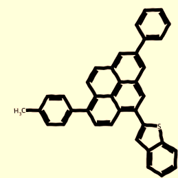 Cc1ccc(-c2ccc3c(-c4cc5ccccc5s4)cc4cc(-c5ccccc5)cc5ccc2c3c54)cc1